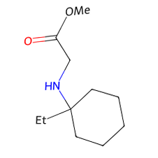 CCC1(NCC(=O)OC)CCCCC1